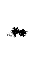 CCCN(CCC)c1c([N+](=O)[O-])cc(C(F)(F)F)c(N)c1[N+](=O)[O-].CCCN(CCC)c1c([N+](=O)[O-])cc(C)cc1[N+](=O)[O-]